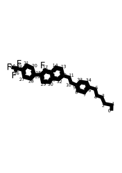 CCCCCCc1ccc(CCc2ccc3c(F)c(-c4ccc(C(F)(F)F)cc4)ccc3c2)cc1